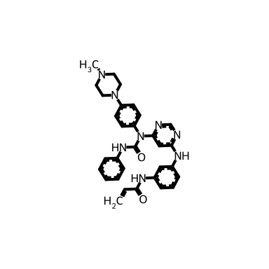 C=CC(=O)Nc1cccc(Nc2cc(N(C(=O)Nc3ccccc3)c3ccc(N4CCN(C)CC4)cc3)ncn2)c1